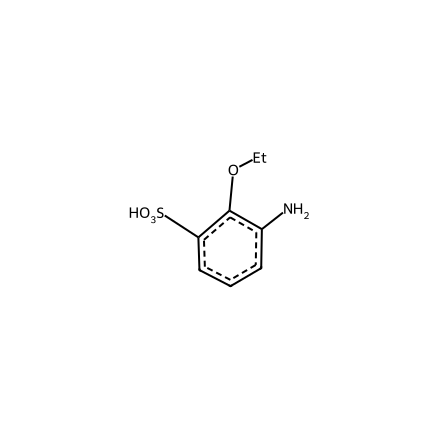 CCOc1c(N)cccc1S(=O)(=O)O